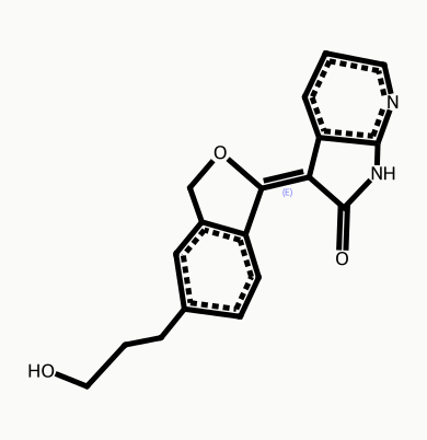 O=C1Nc2ncccc2/C1=C1\OCc2cc(CCCO)ccc21